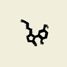 Cc1ccc(C(C)C)c(N2C(=O)CS/C2=N\N=C\C(C)C)c1